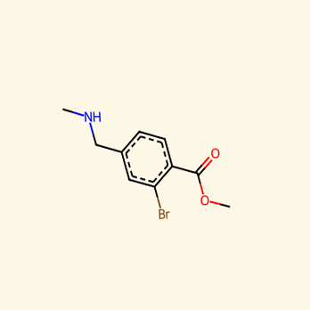 CNCc1ccc(C(=O)OC)c(Br)c1